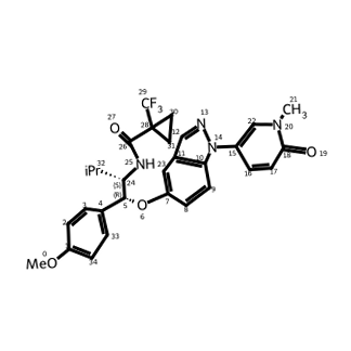 COc1ccc([C@@H](Oc2ccc3c(cnn3-c3ccc(=O)n(C)c3)c2)[C@@H](NC(=O)C2(C(F)(F)F)CC2)C(C)C)cc1